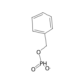 [O][PH](=O)OCc1ccccc1